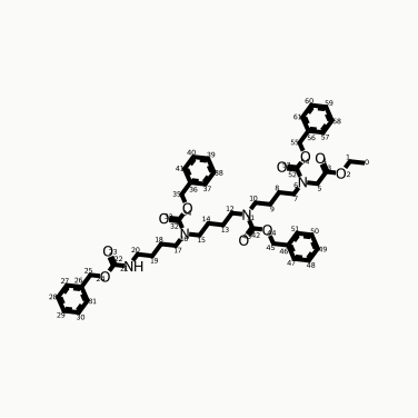 CCOC(=O)CN(CCCCN(CCCCN(CCCCNC(=O)OCc1ccccc1)C(=O)OCc1ccccc1)C(=O)OCc1ccccc1)C(=O)OCc1ccccc1